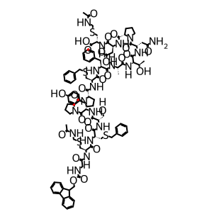 CC(=O)NCSC[C@H](NC(=O)[C@H](CC(=O)O)NC(=O)[C@@H]1CCCN1C(=O)[C@H](CC(N)=O)NC(=O)[C@@H](NC(=O)[C@H](C)NC(=O)[C@H](Cc1ccccc1)NC(=O)[C@H](CSCc1ccccc1)NC(=O)[C@@H]1CCCN1C(=O)[C@@H]1CCCN1C(=O)[C@H](Cc1ccc(O)cc1)NC(=O)[C@H](CO)NC(=O)[C@H](CSCc1ccccc1)NC(=O)[C@H](CSCNC(C)=O)NC(=O)CNC(=O)OCC1c2ccccc2-c2ccccc21)[C@@H](C)O)C(=O)O